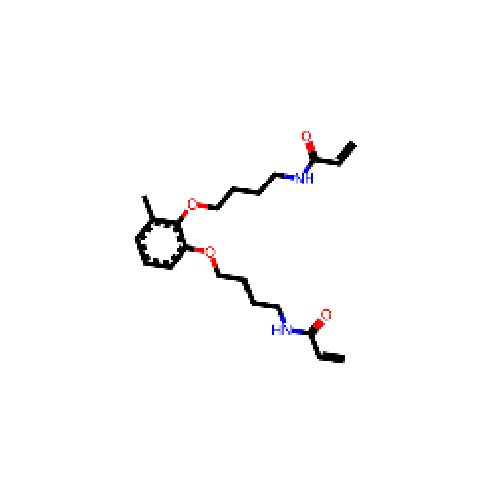 C=CC(=O)NCCCCOc1cccc(C)c1OCCCCNC(=O)C=C